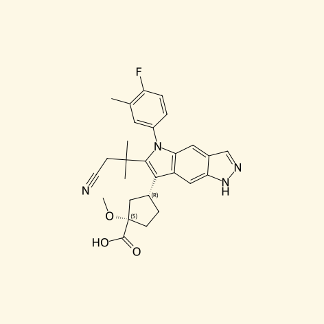 CO[C@@]1(C(=O)O)CC[C@@H](c2c(C(C)(C)CC#N)n(-c3ccc(F)c(C)c3)c3cc4cn[nH]c4cc23)C1